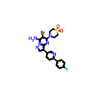 Nc1c(Br)c(N2CCS(=O)(=O)CC2)nc2c(-c3ccc(-c4ccc(F)cc4)nc3)cnn12